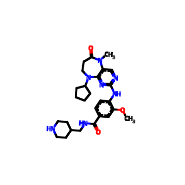 COc1cc(C(=O)NCC2CCNCC2)ccc1Nc1ncc2c(n1)N(C1CCCC1)CCC(=O)N2C